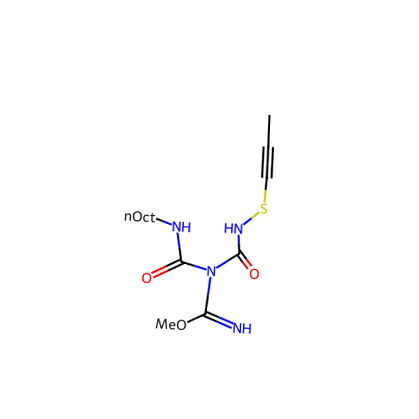 CC#CSNC(=O)N(C(=N)OC)C(=O)NCCCCCCCC